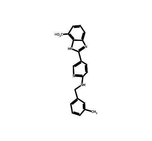 Cc1cccc(CNc2ccc(-c3nc4cccc(C(=O)O)c4[nH]3)cn2)c1